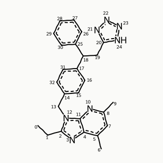 CCc1nc2c(C)cc(C)nc2n1Cc1ccc(C(Cc2nnn[nH]2)c2ccccc2)cc1